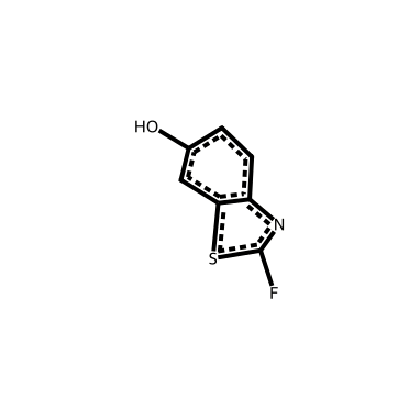 Oc1ccc2nc(F)sc2c1